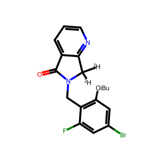 [2H]C1([2H])c2ncccc2C(=O)N1Cc1c(F)cc(Br)cc1OCC(C)C